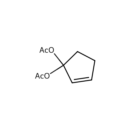 CC(=O)OC1(OC(C)=O)C=CCC1